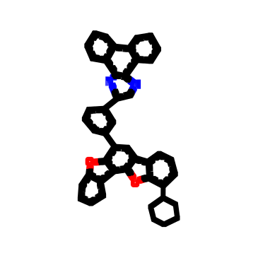 c1cc(-c2cnc3c4ccccc4c4ccccc4c3n2)cc(-c2cc3c4cccc(C5CCCCC5)c4oc3c3c2oc2ccccc23)c1